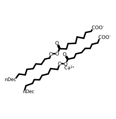 CCCCCCCCCCCCCCCCCCOOC(=O)CCCCCCCC(=O)[O-].CCCCCCCCCCCCCCCCCCOOC(=O)CCCCCCCC(=O)[O-].[Ca+2]